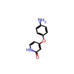 Nc1ccc(Oc2cc[nH]c(=O)c2)cc1